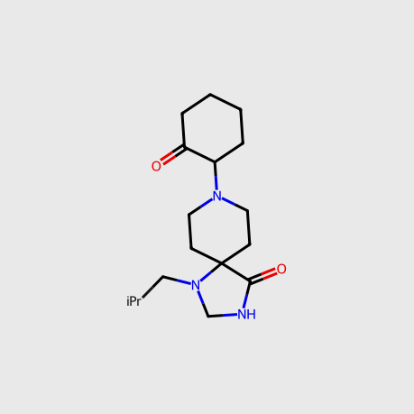 CC(C)CN1CNC(=O)C12CCN(C1CCCCC1=O)CC2